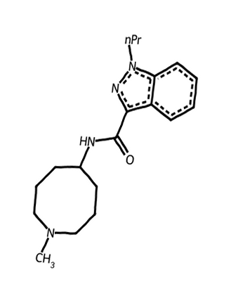 CCCn1nc(C(=O)NC2CCCN(C)CCC2)c2ccccc21